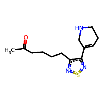 CC(=O)CCCCc1nsnc1C1=CCCNC1